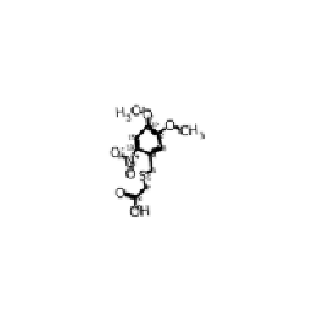 COc1cc(CSCC(=O)O)c([N+](=O)[O-])cc1OC